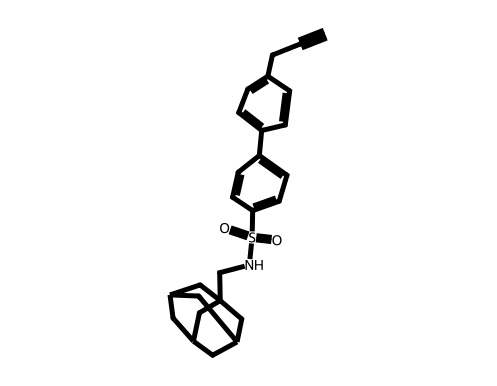 C#CCc1ccc(-c2ccc(S(=O)(=O)NCC34CC5CC(CC(C5)C3)C4)cc2)cc1